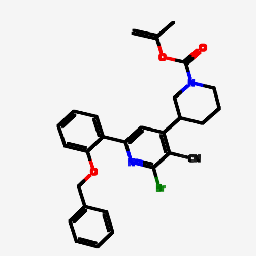 C=C(C)OC(=O)N1CCCC(c2cc(-c3ccccc3OCc3ccccc3)nc(Br)c2C#N)C1